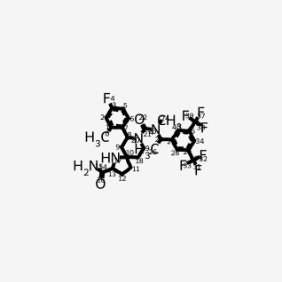 Cc1cc(F)ccc1C1CC2(CCC(C(N)=O)N2)CCN1C(=O)N(C)C(C)c1cc(C(F)(F)F)cc(C(F)(F)F)c1